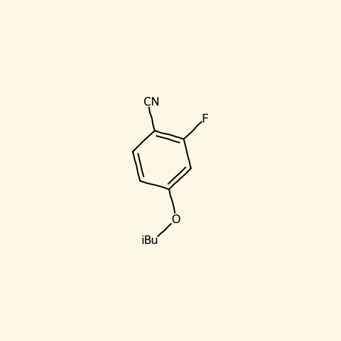 CCC(C)Oc1ccc(C#N)c(F)c1